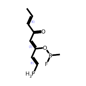 C/C=C/C(=O)/C=C(/C=C/P)OB(C)F